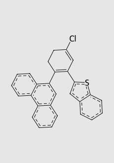 ClC1=CC(c2cc3ccccc3s2)=C(c2cc3ccccc3c3ccccc23)CC1